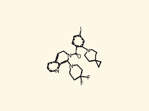 O=C(c1ccc(I)cc1N1CCC2(CC1)CC2)N1CC=c2cccnc2=C1N1CCC(F)(F)CC1